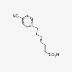 N#Cc1ccc(CC/C=C/C=C/C(=O)O)cc1